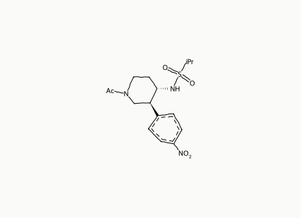 CC(=O)N1CC[C@H](NS(=O)(=O)C(C)C)[C@@H](c2ccc([N+](=O)[O-])cc2)C1